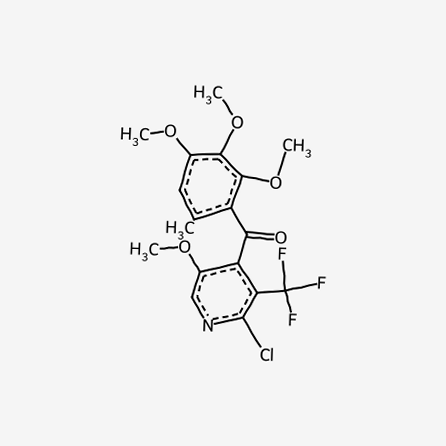 COc1cc(C)c(C(=O)c2c(OC)cnc(Cl)c2C(F)(F)F)c(OC)c1OC